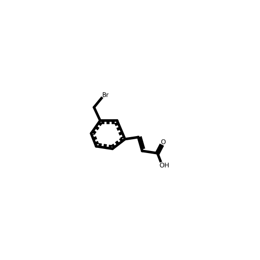 O=C(O)/C=C/c1cccc(CBr)c1